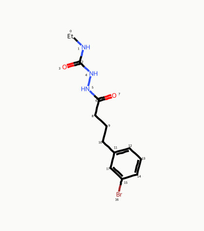 CCNC(=O)NNC(=O)CCCc1cccc(Br)c1